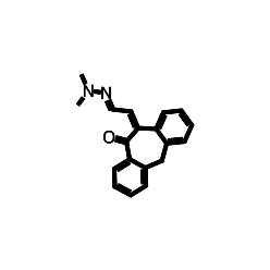 CN(C)/N=C/C=C1\C(=O)c2ccccc2Cc2ccccc21